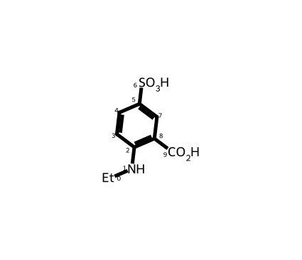 CCNc1ccc(S(=O)(=O)O)cc1C(=O)O